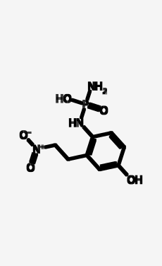 NP(=O)(O)Nc1ccc(O)cc1CC[N+](=O)[O-]